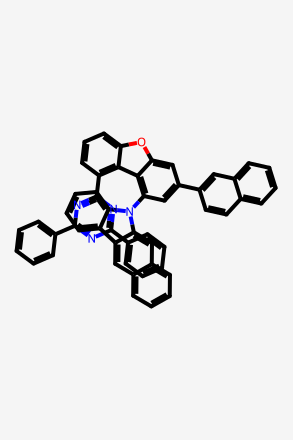 c1ccc(-c2nc(-c3ccccc3)nc(-c3cccc4oc5cc(-c6ccc7ccccc7c6)cc(-n6c7ccccc7c7cc8ccccc8cc76)c5c34)n2)cc1